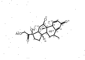 CC(=O)OCC(=O)[C@@]1(O)CC[C@H]2[C@@H]3CC(C)C4=CC(=O)C=C[C@]4(C)[C@@]3(Cl)C(Cl)C[C@@]21C